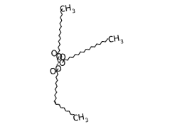 CCCCCCCC/C=C\CCCCCCCCCC(=O)OC[C@@H](COC(=O)CCCCCCCCCCCCCCC)OC(=O)CCCCCCCCCCCCCCCCC